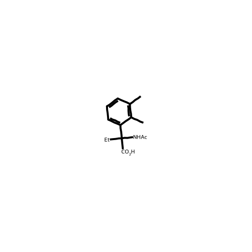 CCC(NC(C)=O)(C(=O)O)c1cccc(C)c1C